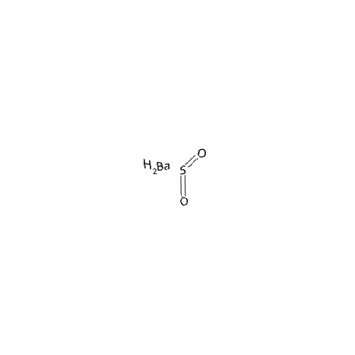 O=S=O.[BaH2]